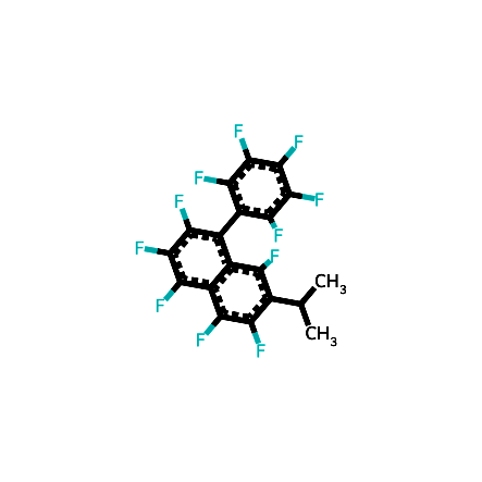 CC(C)c1c(F)c(F)c2c(F)c(F)c(F)c(-c3c(F)c(F)c(F)c(F)c3F)c2c1F